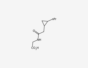 CCCC1CC1CC(=O)NCC(=O)O